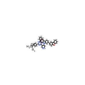 CC(C)(C)c1ccc(-c2nc(-c3ccccc3)nc(-c3cnccc3-n3c4ccccc4c4ccc(-c5ccc6oc7ccccc7c6c5)cc43)n2)cc1